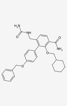 NC(=O)NCc1ccc(C(N)=O)c(OCC2CCCCC2)c1-c1ccc(OCc2ccccc2)cc1